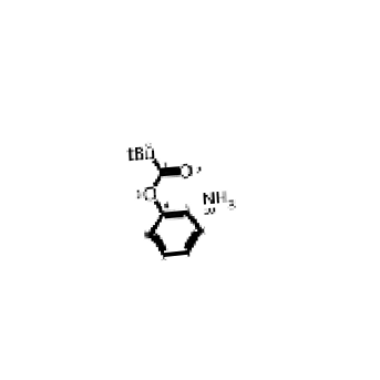 CC(C)(C)C(=O)Oc1ccccc1.N